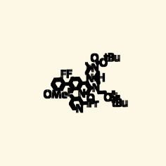 COc1cccc(F)c1-c1c(F)cc2c3c(c(=O)n(-c4c(C)ccnc4C(C)C)c2c1F)N(CCO[Si](C)(C)C(C)(C)C)C[C@H]1CN(C(=O)OC(C)(C)C)[C@H](C)CN31